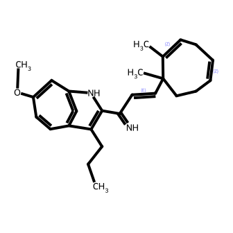 CCCC1=C(C(=N)/C=C/C2(C)CC/C=C\C/C=C\2C)NC2=C=C1C=CC(OC)=C2